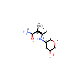 C/C(NC1COCC(O)C1)=C(/C(N)=O)[N+](=O)[O-]